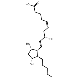 CCCCC[C@@H]1[C@H](/C=C/[C@@H](O)C/C=C\CCCC(=O)O)[C@@H](O)C[C@H]1O